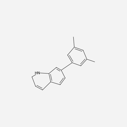 Cc1cc(C)cc(-c2ccc3c(c2)NCC=C3)c1